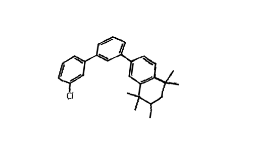 CC1CC(C)(C)c2ccc(-c3cccc(-c4cccc(Cl)c4)c3)cc2C1(C)C